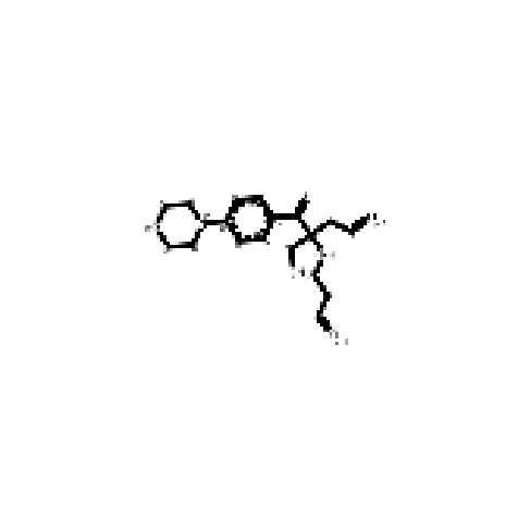 C=CCCNC(CC)(CC=C)C(=O)c1ccc(N2CCOCC2)cc1